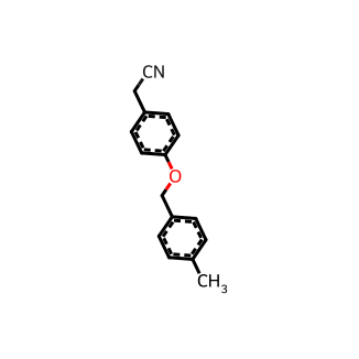 Cc1ccc(COc2ccc(CC#N)cc2)cc1